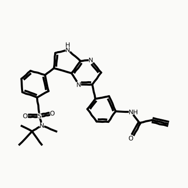 C#CC(=O)Nc1cccc(-c2cnc3[nH]cc(-c4cccc(S(=O)(=O)N(C)C(C)(C)C)c4)c3n2)c1